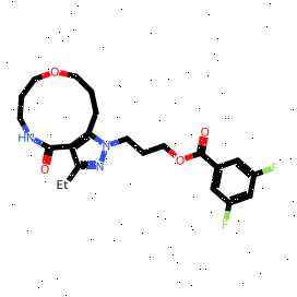 CCc1nn(CCCOC(=O)c2cc(F)cc(F)c2)c2c1C(=O)NCCCOCCC2